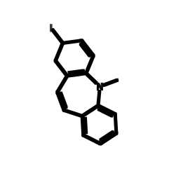 CN1C2=C(C=Cc3ccccc31)CC(I)C=C2